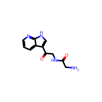 NCC(=O)NCC(=O)c1c[nH]c2ncccc12